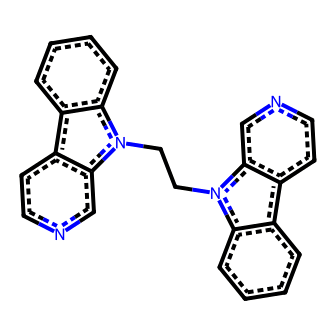 c1ccc2c(c1)c1ccncc1n2CCn1c2ccccc2c2ccncc21